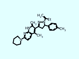 C=C1Nc2nc(N3CCCCC3)ccc2C(C)=C1C1=NN(C(=C)CC)C(c2ccc(C)cc2)C1